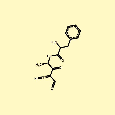 C[C@@H](NC(=O)C(N)Cc1ccccc1)C(=O)C(C=O)=[N+]=[N-]